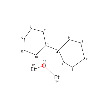 C1CCC(C2CCCCC2)CC1.CCOCC